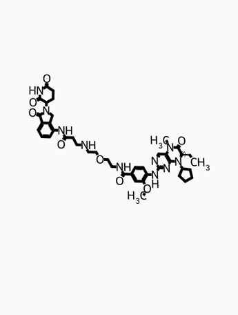 CC[C@@H]1C(=O)N(C)c2cnc(Nc3ccc(C(=O)NCCOCCNCCC(=O)Nc4cccc5c4CN(C4CCC(=O)NC4=O)C5=O)cc3OC)nc2N1C1CCCC1